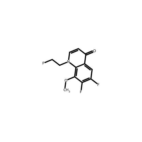 COc1c(F)c(F)cc2c(=O)ccn(CCF)c12